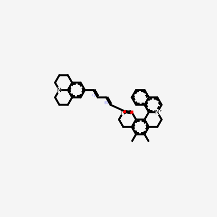 Cc1c(C)c2c(c3c1CC[n+]1ccc4ccccc4c1-3)-c1cccc(/C=C/C=C/c3cc4c5c(c3)CCCN5CCC4)[n+]1CC2